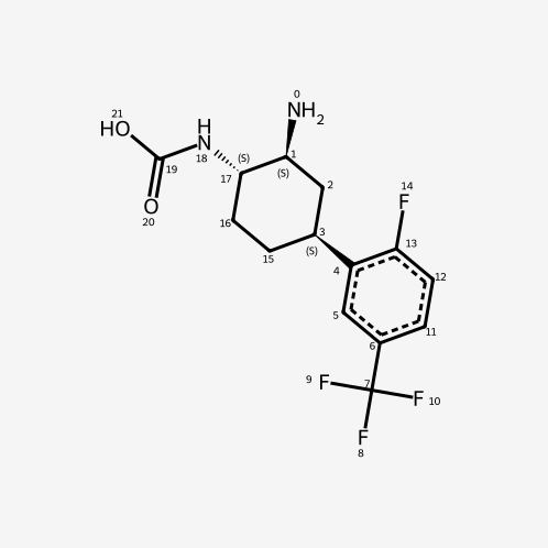 N[C@H]1C[C@@H](c2cc(C(F)(F)F)ccc2F)CC[C@@H]1NC(=O)O